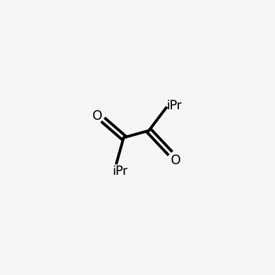 CC(C)C(=O)C(=O)C(C)C